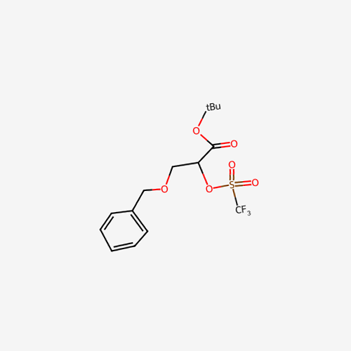 CC(C)(C)OC(=O)C(COCc1ccccc1)OS(=O)(=O)C(F)(F)F